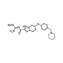 CNC(N)=NC(=O)c1cc2ccc(Oc3ccc(CN4CCCCC4)cc3)cc2[nH]1